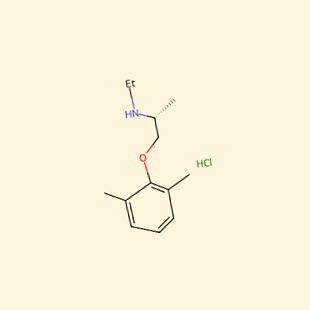 CCN[C@H](C)COc1c(C)cccc1C.Cl